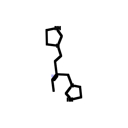 C/C=C(/CCN1CCNC1)CN1CCNC1